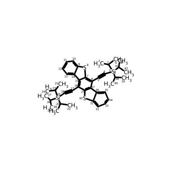 CC(C)[Si](C#Cc1c2sc3ccccc3c2c(C#C[Si](C(C)C)(C(C)C)C(C)C)c2sc3ccccc3c12)(C(C)C)C(C)C